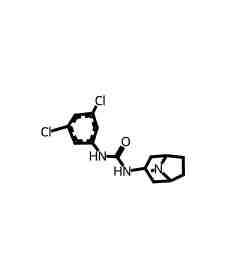 CN1C2CCC1CC(NC(=O)Nc1cc(Cl)cc(Cl)c1)C2